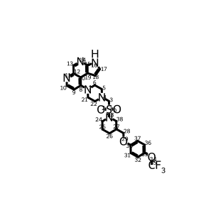 O=S(=O)(CN1CCN(c2ccnc3cnc4[nH]ccc4c23)CC1)N1CCCC(COc2ccc(OC(F)(F)F)cc2)C1